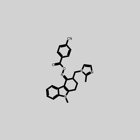 Cc1nccn1CC1CCc2c(c3ccccc3n2C)/C1=N/OC(=O)c1ccc(C#N)cc1